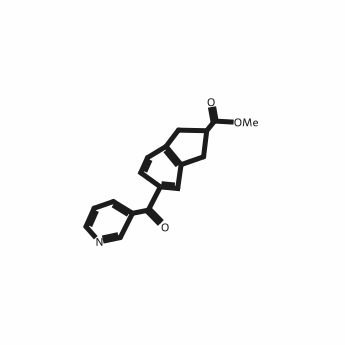 COC(=O)C1Cc2ccc(C(=O)c3cccnc3)cc2C1